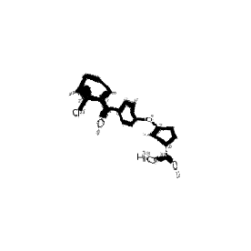 O=C(c1ccc(O[C@H]2CC[C@H](C(=O)O)C2)cc1)c1ccccc1Cl